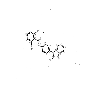 O=C(Nc1ccc(-c2c(C(F)(F)F)oc3ccccc23)cn1)c1c(F)cncc1F